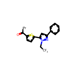 CC(C)C(=O)c1ccc(-c2cc(-c3ccccc3)nn2CC(F)(F)F)s1